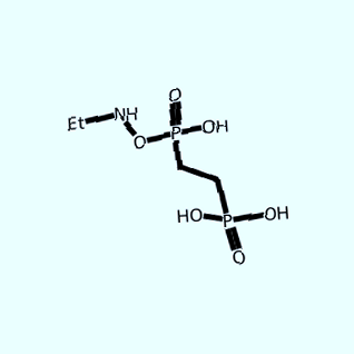 CCNOP(=O)(O)CCP(=O)(O)O